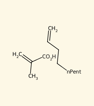 C=C(C)C(=O)O.C=CCCCCCCC